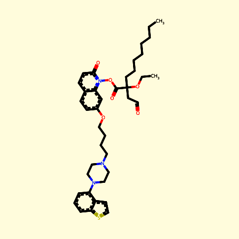 CCCCCCCCC(CC=O)(OCC)C(=O)On1c(=O)ccc2ccc(OCCCCN3CCN(c4cccc5sccc45)CC3)cc21